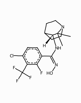 CC1(C)[C@H](N/C(=N/O)c2ccc(Cl)c(C(F)(F)F)c2F)C2CCN1CC2